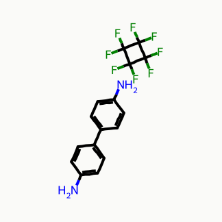 FC1(F)C(F)(F)C(F)(F)C1(F)F.Nc1ccc(-c2ccc(N)cc2)cc1